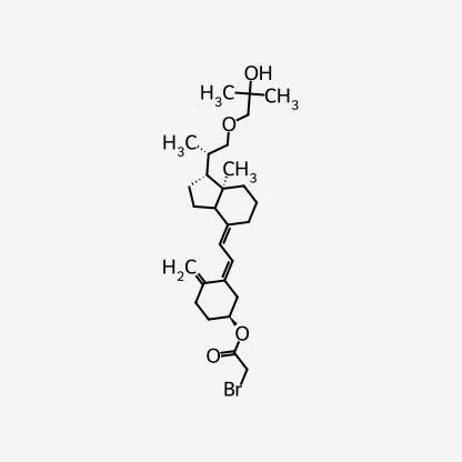 C=C1CC[C@H](OC(=O)CBr)C/C1=C/C=C1\CCC[C@@]2(C)C1CC[C@@H]2[C@H](C)COCC(C)(C)O